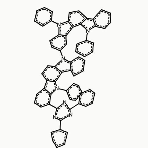 c1ccc(-c2nc(-c3ccccc3)nc(-c3cccc4c5ccc6c(c7ccccc7n6-c6ccc7c(c6)c6c(ccc8c9ccccc9n(-c9ccccc9)c86)n7-c6ccccc6)c5n(-c5ccccc5)c34)n2)cc1